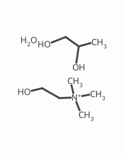 CC(O)CO.C[N+](C)(C)CCO.O